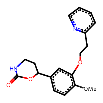 COc1ccc(C2CCNC(=O)O2)cc1OCCc1ccccn1